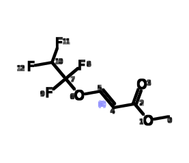 COC(=O)/[C]=C/OC(F)(F)C(F)F